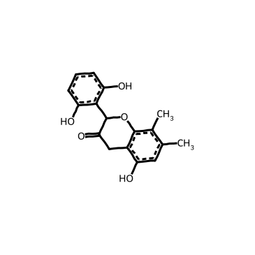 Cc1cc(O)c2c(c1C)OC(c1c(O)cccc1O)C(=O)C2